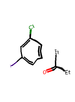 CCC(=O)CC.Clc1cccc(I)c1